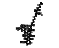 CC/C(=N\NC(=O)CCCCCO/N=C(\C)C(=O)NCSCC(C)=O)[C@]1(O)Cc2c(O)c3c(c(O)c2[C@@H](OC2CC(N)C(O)[C@H](C)O2)C1)C(=O)c1c(OC)cccc1C3=O